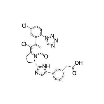 O=C(O)Cc1cccc(-c2cnc([C@@H]3CCc4c(Cl)c(-c5cc(Cl)ccc5-n5cnnn5)cc(=O)n43)[nH]2)c1